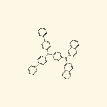 c1ccc(-c2ccc(N(c3ccc(-c4ccccc4)cc3)c3ccc(N(c4ccc5ccccc5c4)c4ccc5ccccc5c4)cc3)cc2)cc1